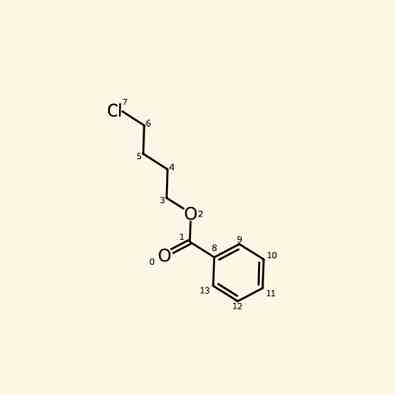 O=C(OCCCCCl)c1ccccc1